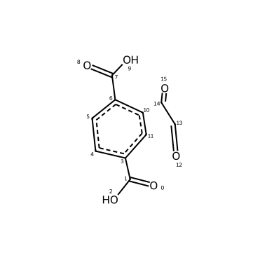 O=C(O)c1ccc(C(=O)O)cc1.O=CC=O